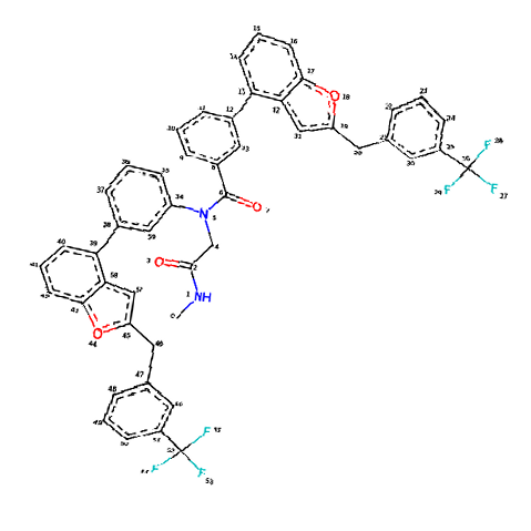 CNC(=O)CN(C(=O)c1cccc(-c2cccc3oc(Cc4cccc(C(F)(F)F)c4)cc23)c1)c1cccc(-c2cccc3oc(Cc4cccc(C(F)(F)F)c4)cc23)c1